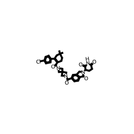 CC1(C)CCC(C(=O)N2CC3(C2)CN(C(=O)c2ccc4c(c2)CN(C2CCC(=O)NC2=O)C4=O)C3)=C(c2ccc(Cl)cc2)C1